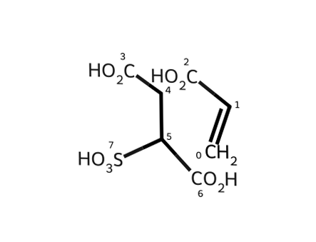 C=CC(=O)O.O=C(O)CC(C(=O)O)S(=O)(=O)O